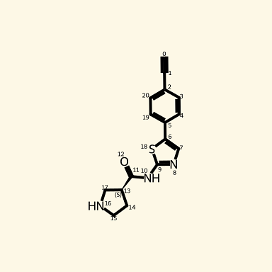 C#Cc1ccc(-c2cnc(NC(=O)[C@H]3CCNC3)s2)cc1